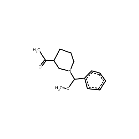 COC(c1ccccc1)N1CCCC(C(C)=O)C1